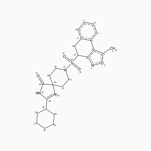 Cc1onc2c1-c1ccccc1CC2S(=O)(=O)N1CCC2(CC1)N=C(C1CCCCC1)NC2=O